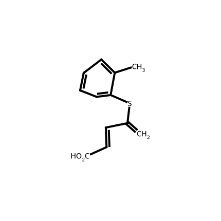 C=C(/C=C/C(=O)O)Sc1ccccc1C